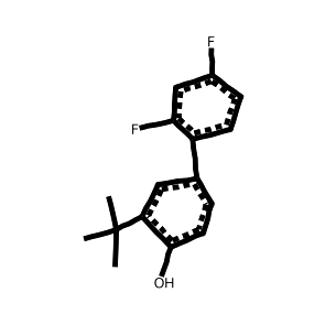 CC(C)(C)c1cc(-c2ccc(F)cc2F)ccc1O